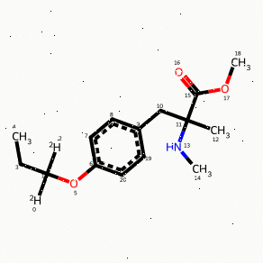 [2H]C([2H])(CC)Oc1ccc(CC(C)(NC)C(=O)OC)cc1